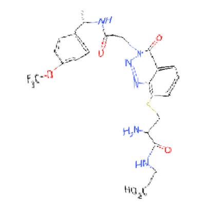 C[C@H](NC(=O)Cn1nnc2c(SCC(N)C(=O)NCC(=O)O)cccc2c1=O)c1ccc(OC(F)(F)F)cc1